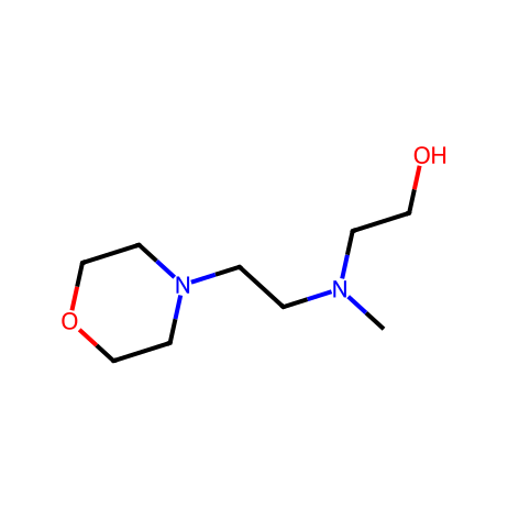 CN(CCO)CCN1CCOCC1